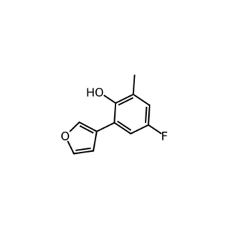 Cc1cc(F)cc(-c2ccoc2)c1O